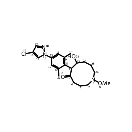 CON1CCCC(=O)C(c2c(C)cc(-n3cc(Cl)cn3)cc2C)C(O)CCC1